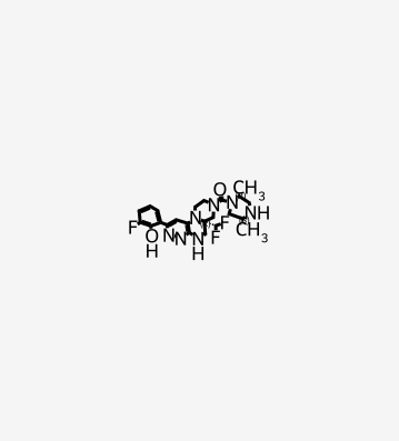 C[C@@H]1CN[C@@H](C)CN1C(=O)N1CCN2c3cc(-c4cccc(F)c4O)nnc3NC[C@]2(C(F)F)C1